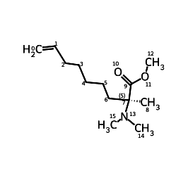 C=CCCCCC[C@@](C)(C(=O)OC)N(C)C